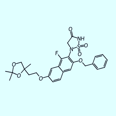 CC1(CCOc2ccc3cc(OCc4ccccc4)c(N4CC(=O)NS4(=O)=O)c(F)c3c2)COC(C)(C)O1